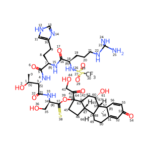 C[C@H](O)[C@H](NC(=O)[C@@H](CCc1c[nH]cn1)NC(=O)[C@@H](CCCNC(=N)N)NS(=O)(=O)C(F)(F)F)C(=O)N[C@H](CO)C(=S)O[C@]1(C(=O)CO)CC[C@H]2[C@@H]3CCC4=CC(=O)C=C[C@]4(C)[C@H]3[C@@H](O)C[C@@]21C